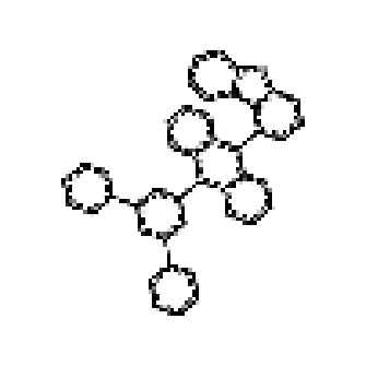 c1ccc(-c2cc(-c3ccccc3)cc(-c3c4ccccc4c(-c4cccc5sc6ccccc6c45)c4ccccc34)c2)cc1